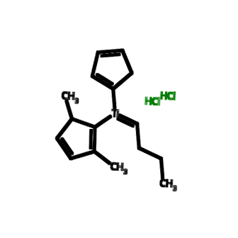 CCC[CH]=[Ti]([C]1=CC=CC1)[C]1=C(C)C=CC1C.Cl.Cl